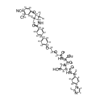 Cc1nccn1-c1ccc([C@H](C)NC(=O)[C@@H]2C[C@@H](O)CN2C(=O)[C@@H](NC(=O)COCCOc2ccc(-c3ccc(C(=O)N[C@H]4C(C)(C)[C@H](Oc5ccc(C#N)c(Cl)c5)C4(C)C)cc3)cc2)C(C)(C)C)cc1